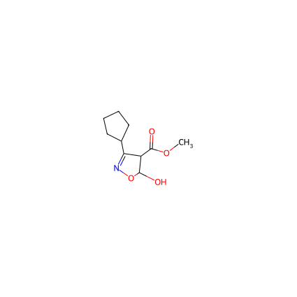 COC(=O)C1C(C2CCCC2)=NOC1O